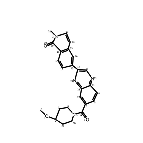 COC1CCN(C(=O)c2ccc3ncc(-c4ccc5c(=O)n(C)ccc5c4)nc3c2)CC1